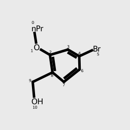 CCCOc1cc(Br)ccc1CO